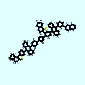 c1cc(-c2ccc3ccccc3c2)cc(-c2c3ccccc3c(-c3ccc(-c4ccc(-c5ccc(-c6c7ccccc7c(-c7ccc8c(c7)sc7ccc9ccccc9c78)c7ccccc67)cc5)cc4)c4c3sc3c5ccccc5ccc34)c3ccccc23)c1